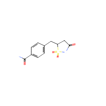 NC(=O)c1ccc(CC2CC(=O)NS2(=O)=O)cc1